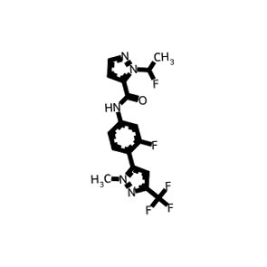 CC(F)n1nccc1C(=O)Nc1ccc(-c2cc(C(F)(F)F)nn2C)c(F)c1